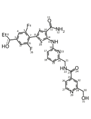 CCC(O)c1cc(F)c(-c2cc(C(N)=O)c(Nc3cccc(CNC(=O)c4ccnc(CO)c4)n3)s2)c(F)c1